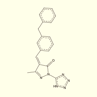 CC1=NN(c2nnn[nH]2)C(=O)/C1=C\c1cccc(Cc2ccccc2)c1